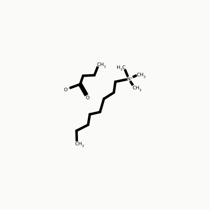 CCCC(=O)[O-].CCCCCCCC[N+](C)(C)C